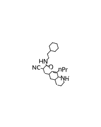 CCCC1=CC(CC(C#N)C(=O)NCCC2CCCCC2)CC2CCCNC12